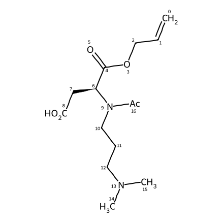 C=CCOC(=O)[C@H](CC(=O)O)N(CCCN(C)C)C(C)=O